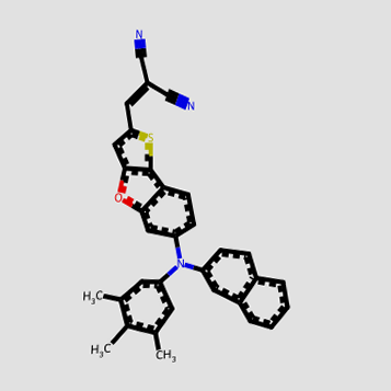 Cc1cc(N(c2ccc3ccccc3c2)c2ccc3c(c2)oc2cc(C=C(C#N)C#N)sc23)cc(C)c1C